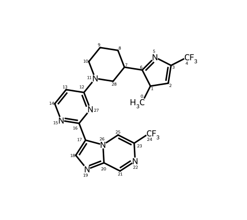 CC1C=C(C(F)(F)F)N=C1C1CCCN(c2ccnc(-c3cnc4cnc(C(F)(F)F)cn34)n2)C1